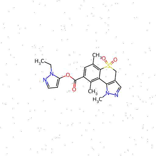 CCn1nccc1OC(=O)c1cc(C)c2c(c1C)-c1c(cnn1C)CS2(=O)=O